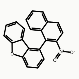 O=[N+]([O-])c1ccc2ccccc2c1-c1cccc2oc3ccccc3c12